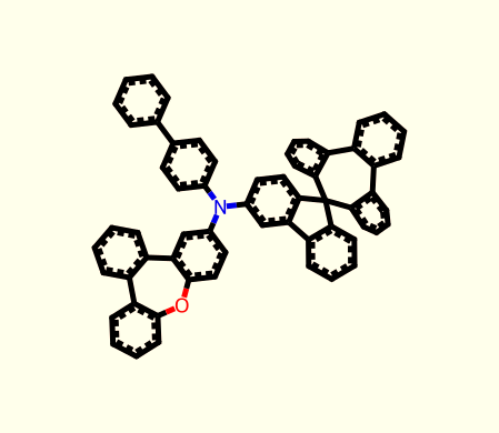 c1ccc(-c2ccc(N(c3ccc4c(c3)-c3ccccc3-c3ccccc3O4)c3ccc4c(c3)-c3ccccc3C43c4ccccc4-c4ccccc4-c4ccccc43)cc2)cc1